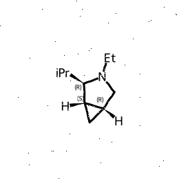 CCN1C[C@@H]2C[C@@H]2[C@H]1C(C)C